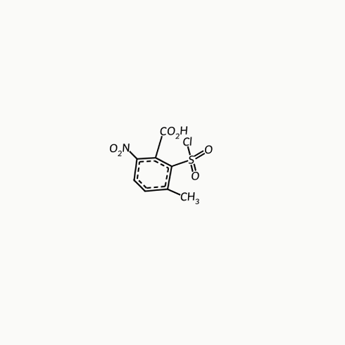 Cc1ccc([N+](=O)[O-])c(C(=O)O)c1S(=O)(=O)Cl